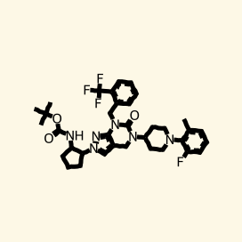 Cc1cccc(F)c1N1CCC(N2Cc3cn(C4CCCC4NC(=O)OC(C)(C)C)nc3N(Cc3ccccc3C(F)(F)F)C2=O)CC1